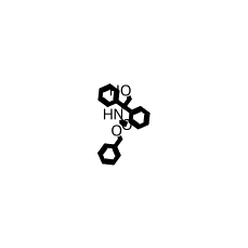 O=C(NC(CO)(c1ccccc1)c1ccccc1)OCc1ccccc1